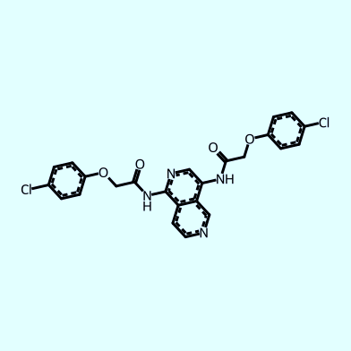 O=C(COc1ccc(Cl)cc1)Nc1cnc(NC(=O)COc2ccc(Cl)cc2)c2ccncc12